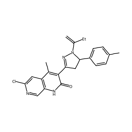 C=C(CC)N1N=C(c2c(C)c3cc(Cl)ncc3[nH]c2=O)CC1c1ccc(C)cc1